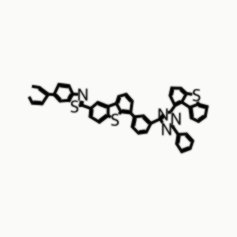 C/C=C\C(=C/C)c1ccc2nc(-c3ccc4sc5c(-c6cccc(-c7nc(-c8ccccc8)nc(-c8cccc9sc%10ccccc%10c89)n7)c6)cccc5c4c3)sc2c1